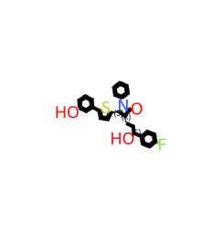 O=C1[C@H](CC[C@H](O)c2ccc(F)cc2)[C@@H](c2ccc(-c3cccc(O)c3)s2)N1c1ccccc1